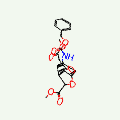 COC(=O)C1Oc2c3c(NC(=O)OCc4ccccc4)cc1c2C(C(=O)OC)O3